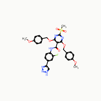 COc1ccc(COc2nc(S(C)(=O)=O)nc(OCc3ccc(OC)cc3)c2C(=O)Nc2ccc(-c3c[nH]nn3)cc2F)cc1